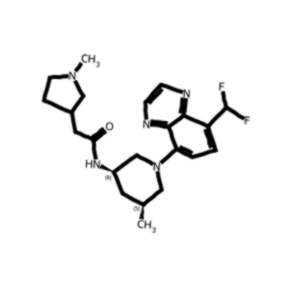 C[C@H]1C[C@@H](NC(=O)CC2CCN(C)C2)CN(c2ccc(C(F)F)c3nccnc23)C1